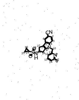 N#Cc1ccc2c(c1)c1c(n2Cc2cccc(F)n2)C[C@H](NS(=O)(=O)C2CC2)C1